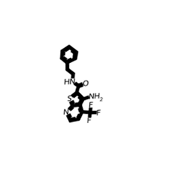 Nc1c(C(=O)NCCc2ccccc2)sc2nccc(C(F)(F)F)c12